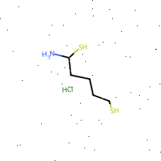 Cl.NC(S)CCCCS